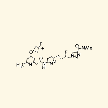 CNC(=O)c1cn(CC(F)CCc2ccc(NC(=O)Cc3cc(OC4CC(F)(F)C4)cc(C)n3)nn2)nn1